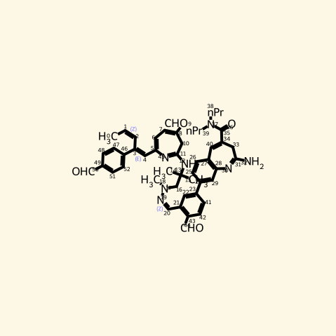 C/C=C\C(=C/C1=CC=C(C=O)CC(NC(C)(C)CN(C)/N=C\c2cc(-c3ccc4c(c3)N=C(N)CC(C(=O)N(CCC)CCC)=C4)ccc2C=O)=N1)c1ccc(C=O)cc1